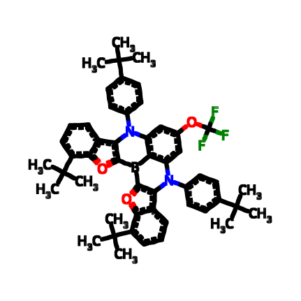 CC(C)(C)c1ccc(N2c3cc(OC(F)(F)F)cc4c3B(c3oc5c(C(C)(C)C)cccc5c32)c2oc3c(C(C)(C)C)cccc3c2N4c2ccc(C(C)(C)C)cc2)cc1